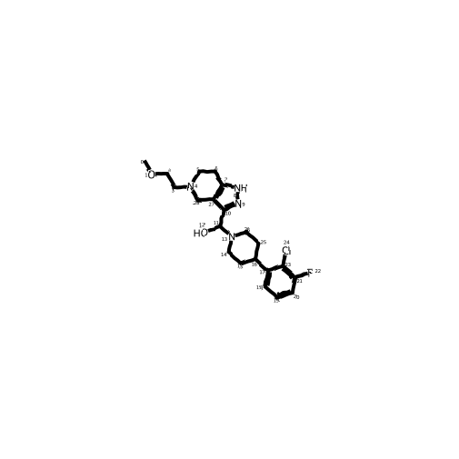 COCCN1CCc2[nH]nc(C(O)N3CCC(c4cccc(F)c4Cl)CC3)c2C1